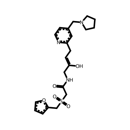 O=C(CS(=O)(=O)Cc1ccco1)NCC(O)=CCc1cc(CN2CCCC2)ccn1